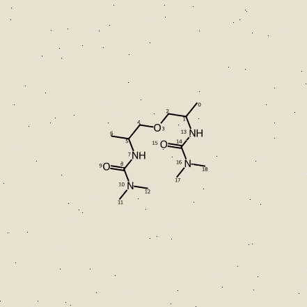 CC(COCC(C)NC(=O)N(C)C)NC(=O)N(C)C